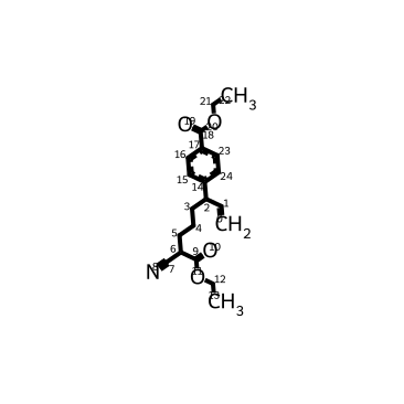 C=CC(CCCC(C#N)C(=O)OCC)c1ccc(C(=O)OCC)cc1